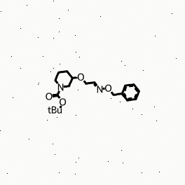 CC(C)(C)OC(=O)N1CCCC(OCC=NOCc2ccccc2)C1